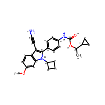 CCOc1ccc2c(C#CN)c(-c3ccc(NC(=O)OC(C)C4CC4)cc3)n(C3CCC3)c2c1